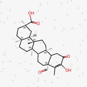 CC1=C(O)C(=O)CC2[C@]3(C)CC[C@@]4(C)[C@@H]5C[C@](C)(C(=O)O)CC[C@]5(C)CC[C@]4(C)C3CC[C@]12C=O